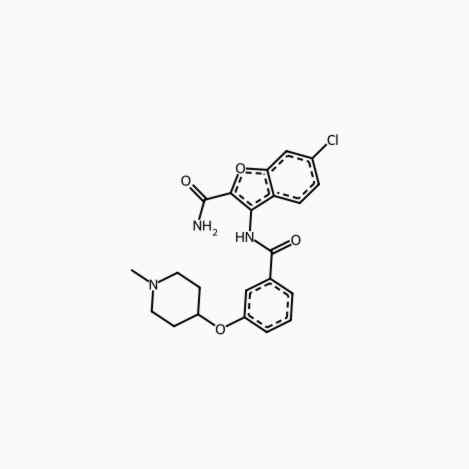 CN1CCC(Oc2cccc(C(=O)Nc3c(C(N)=O)oc4cc(Cl)ccc34)c2)CC1